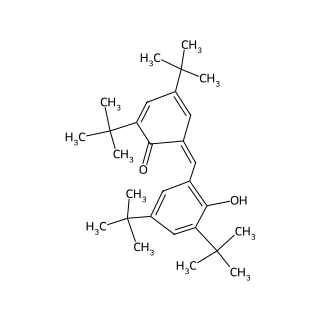 CC(C)(C)C1=C/C(=C/c2cc(C(C)(C)C)cc(C(C)(C)C)c2O)C(=O)C(C(C)(C)C)=C1